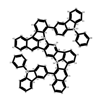 c1ccc(-n2c3ccccc3c3cc(-c4c5ccccc5cc5c6cccc7c8nc9c(cc8n(c45)c67)c4cc5ccccc5c5c6cccc(-c7ccc8c(c7)c7ccccc7n8-c7ccccc7)c6n9c45)ccc32)cc1